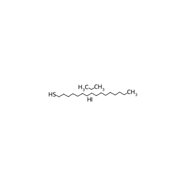 CCC.CCCCCCCCCCCCCCCCS.I